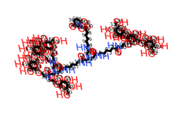 O=C(CCCCCNC(=O)CN(CC(=O)NCCCCCNC(=O)CN(CC(=O)N(CCO[C@H]1O[C@H](CO)[C@@H](O)[C@H](O)[C@@H]1O)CCO[C@H]1O[C@H](CO)[C@@H](O)[C@H](O)[C@@H]1O)CC(=O)N(CCO[C@H]1O[C@H](CO)[C@@H](O)[C@H](O)[C@@H]1O)CCO[C@H]1O[C@H](CO)[C@@H](O)[C@H](O)[C@@H]1O)CC(=O)NCCCCCC(=O)ON1C(=O)CCC1=O)NCCO[C@H]1O[C@H](CO[C@H]2O[C@H](CO)[C@@H](O)[C@H](O)[C@@H]2O)[C@@H](O)[C@H](O[C@H]2O[C@H](CO)[C@@H](O)[C@H](O)[C@@H]2O)[C@@H]1O